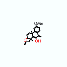 C=CCC1(C)C(=O)C=CC2(C)C1=C(O)C(=C)c1ccc(OC)cc12